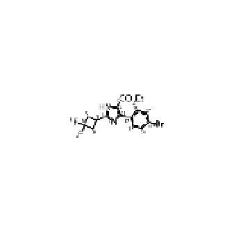 CCOC(=O)c1[nH]c(C2CC(F)(F)C2)nc1-c1ccc(Br)cc1